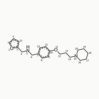 c1coc(CNCc2ccc(OCCCN3CCCCC3)cc2)c1